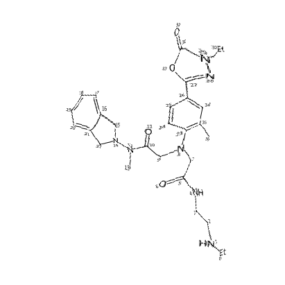 CCNCCNC(=O)CN(CC(=O)N(C)N1Cc2ccccc2C1)c1ccc(-c2nn(CC)c(=O)o2)cc1C